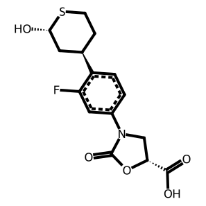 O=C(O)[C@H]1CN(c2ccc([C@@H]3CCS[C@@H](O)C3)c(F)c2)C(=O)O1